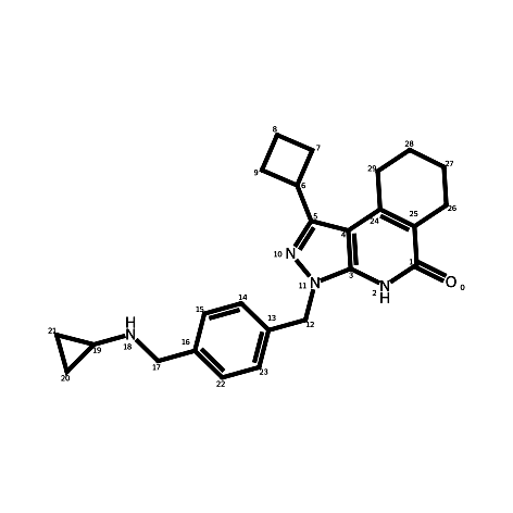 O=c1[nH]c2c(c(C3CCC3)nn2Cc2ccc(CNC3CC3)cc2)c2c1CCCC2